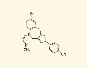 C=N/C=C\N1Cc2cc(-c3ccc(C#N)cc3)cn2Cc2cc(Br)ccc21